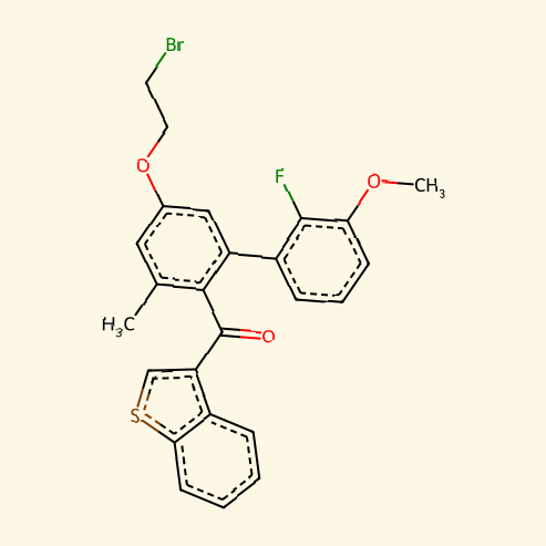 COc1cccc(-c2cc(OCCBr)cc(C)c2C(=O)c2csc3ccccc23)c1F